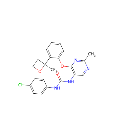 Cc1ncc(NC(=O)Nc2ccc(Cl)cc2)c(Oc2ccccc2C2(C(F)(F)F)CCO2)n1